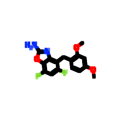 COc1ccc(Cc2c(F)cc(F)c3oc(N)nc23)c(OC)c1